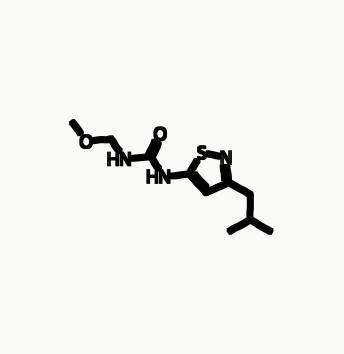 COCNC(=O)Nc1cc(CC(C)C)ns1